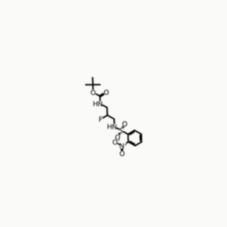 CC(C)(C)OC(=O)NCC(F)CNS(=O)(=O)c1ccccc1[N+](=O)[O-]